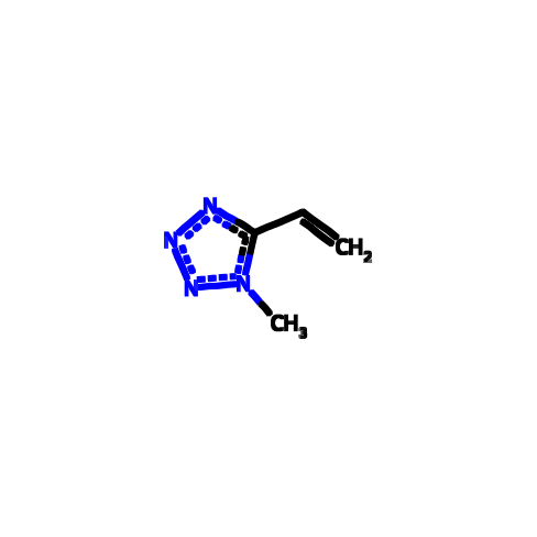 C=Cc1nnnn1C